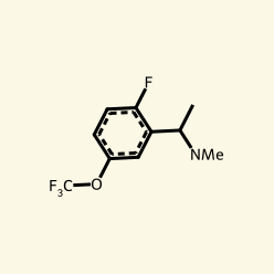 CNC(C)c1cc(OC(F)(F)F)ccc1F